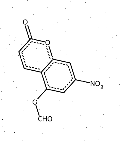 O=COc1cc([N+](=O)[O-])cc2oc(=O)ccc12